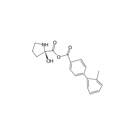 Cc1ccccc1-c1ccc(C(=O)OC(=O)[C@]2(O)CCCN2)cc1